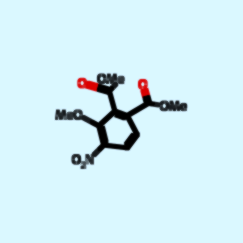 COC(=O)c1ccc([N+](=O)[O-])c(OC)c1C(=O)OC